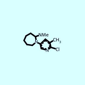 CNC1CCCCCN1c1cnc(Cl)c(C)c1